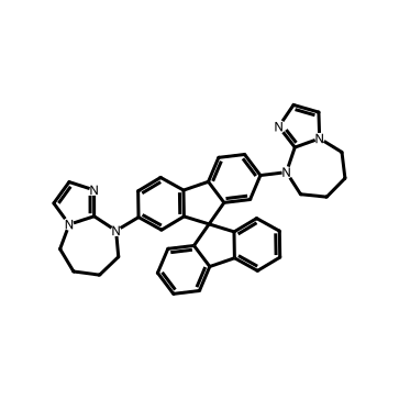 c1ccc2c(c1)-c1ccccc1C21c2cc(N3CCCCn4ccnc43)ccc2-c2ccc(N3CCCCn4ccnc43)cc21